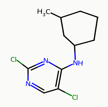 CC1CCCC(Nc2nc(Cl)ncc2Cl)C1